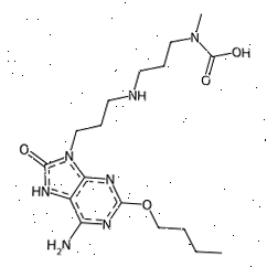 CCCCOc1nc(N)c2[nH]c(=O)n(CCCNCCCN(C)C(=O)O)c2n1